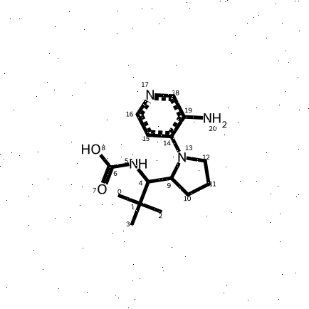 CC(C)(C)C(NC(=O)O)C1CCCN1c1ccncc1N